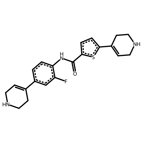 O=C(Nc1ccc(C2=CCNCC2)cc1F)c1ccc(C2=CCNCC2)s1